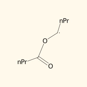 CCC[CH]OC(=O)CCC